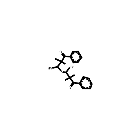 C[C](C)C(SC([C](C)C)C(C)(C)C(=O)c1ccccc1)C(C)(C)C(=O)c1ccccc1